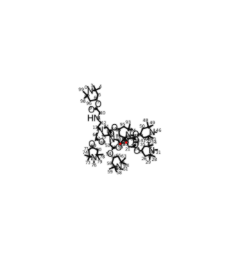 CN1C(C)(C)CC(OC(=O)CNCC[N+](CCN(CCN(CC(=O)OC2CC(C)(C)N(C)C(C)(C)C2)CC(=O)OC2CC(C)(C)N(C)C(C)(C)C2)CC(=O)OC2CC(C)(C)N(C)C(C)(C)C2)(CC(=O)OC2CC(C)(C)N(C)C(C)(C)C2)CC(=O)OC2CC(C)(C)N(C)C(C)(C)C2)CC1(C)C